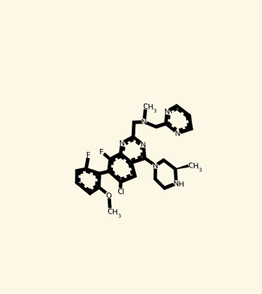 COc1cccc(F)c1-c1c(Cl)cc2c(N3CCN[C@H](C)C3)nc(CN(C)Cc3ncccn3)nc2c1F